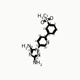 CS(=O)(=O)c1cccc(-c2ccc(-n3nc(N)nc3N)cn2)c1